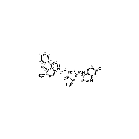 Cc1ccc(NCCN(CCNc2ccnc3cc(Cl)ccc23)C(=O)CN)c2c(=O)c3ccccc3sc12